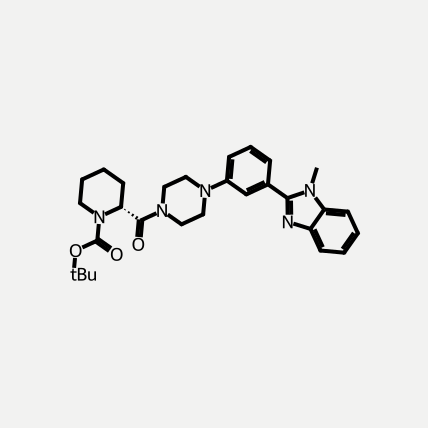 Cn1c(-c2cccc(N3CCN(C(=O)[C@H]4CCCCN4C(=O)OC(C)(C)C)CC3)c2)nc2ccccc21